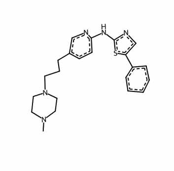 CN1CCN(CCCc2ccc(Nc3ncc(-c4ccccc4)s3)nc2)CC1